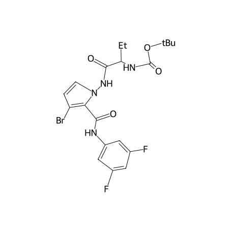 CCC(NC(=O)OC(C)(C)C)C(=O)Nn1ccc(Br)c1C(=O)Nc1cc(F)cc(F)c1